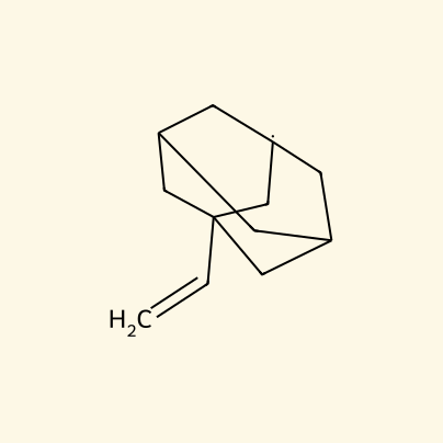 C=CC12C[C]3CC(CC(C3)C1)C2